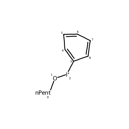 CCCCCO[I+]c1ccccc1